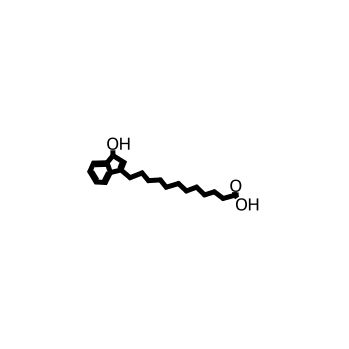 O=C(O)CCCCCCCCCCCC1=CC(O)c2ccccc21